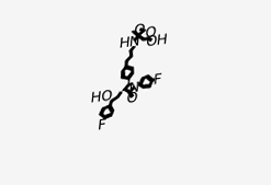 O=C(O)CC1(NCCCCc2ccc([C@@H]3[C@@H](CC[C@H](O)c4ccc(F)cc4)C(=O)N3c3ccc(F)cc3)cc2)COC1